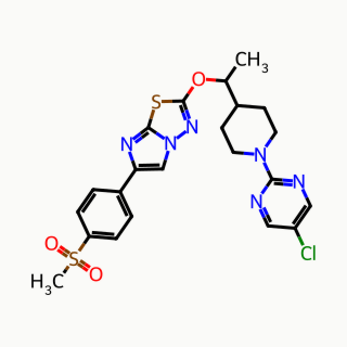 CC(Oc1nn2cc(-c3ccc(S(C)(=O)=O)cc3)nc2s1)C1CCN(c2ncc(Cl)cn2)CC1